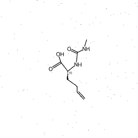 C=CCC[C@H](NC(=O)NC)C(=O)O